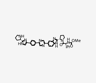 COC(=O)N[C@H](C(=O)N1CCC[C@H]1c1nc2cc(-c3cnc(-c4ccc(-c5c[nH]c([C@@H]6CCCN6)n5)cc4)cn3)ccc2[nH]1)C(C)C